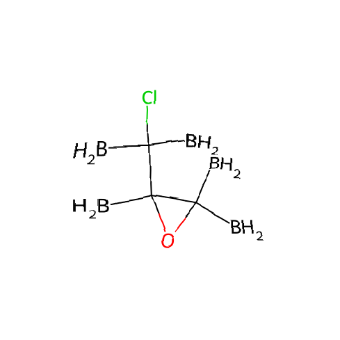 BC(B)(Cl)C1(B)OC1(B)B